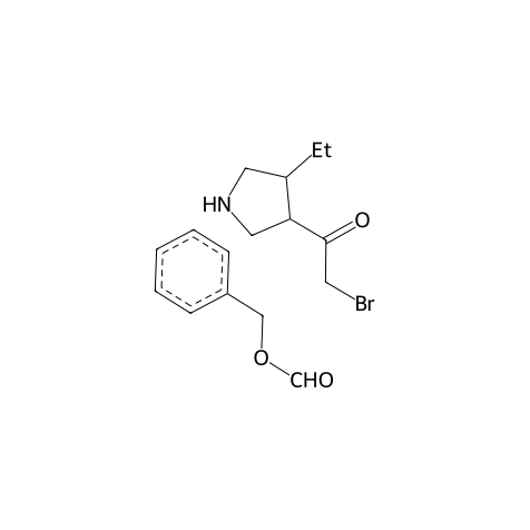 CCC1CNCC1C(=O)CBr.O=COCc1ccccc1